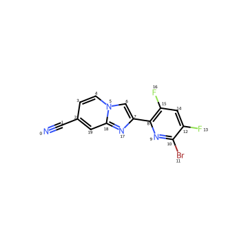 N#Cc1ccn2cc(-c3nc(Br)c(F)cc3F)nc2c1